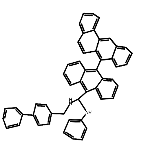 c1ccc(NC(NCc2ccc(-c3ccccc3)cc2)c2c3ccccc3c(-c3c4ccccc4cc4c3ccc3ccccc34)c3ccccc23)cc1